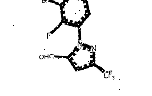 O=Cc1cc(C(F)(F)F)nn1-c1cccc(Br)c1F